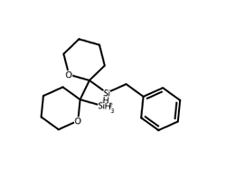 [SiH3]C1(C2([SiH2]Cc3ccccc3)CCCCO2)CCCCO1